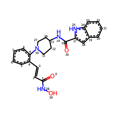 O=C(/C=C/c1ccccc1N1CCC(NC(=O)c2cc3ccccc3[nH]2)CC1)NO